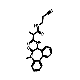 CC(C(=O)NCCC#N)C(=O)NC1C(=O)N(C)c2ccccc2-c2ccccc21